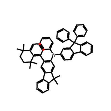 CC1(C)CCC(C)(C)c2c(-c3cc4c(cc3N(c3ccccc3)c3ccc5c(c3)C(c3ccccc3)(c3ccccc3)c3ccccc3-5)C(C)(C)c3ccccc3-4)cccc21